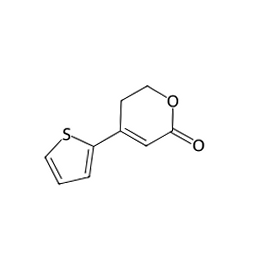 O=C1C=C(c2cccs2)CCO1